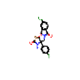 O=C1NC(CN2Cc3cc(Cl)ccc3C2=O)(c2ccc(F)cc2)C(=O)S1